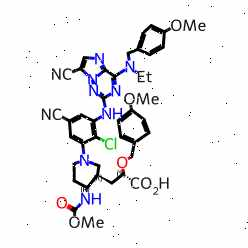 CCN(Cc1ccc(OC)cc1)c1nc(Nc2cc(C#N)cc(N3CC[C@@H](NC(=O)OC)[C@H](C[C@H](OCc4ccc(OC)cc4)C(=O)O)C3)c2Cl)nn2c(C#N)cnc12